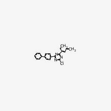 C=C/C=C(\C=C)c1nc(Cl)nc(-c2ccc(-c3ccccc3)cc2)n1